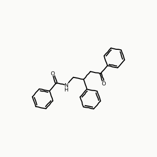 O=C(CC(CNC(=O)c1ccccc1)c1ccccc1)c1ccccc1